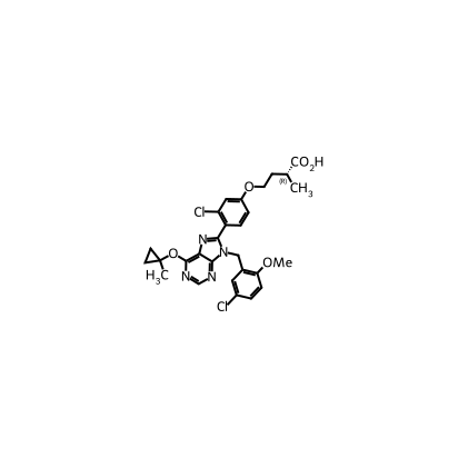 COc1ccc(Cl)cc1Cn1c(-c2ccc(OCC[C@@H](C)C(=O)O)cc2Cl)nc2c(OC3(C)CC3)ncnc21